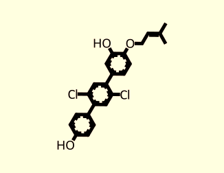 CC(C)=CCOc1ccc(-c2cc(Cl)c(-c3ccc(O)cc3)cc2Cl)cc1O